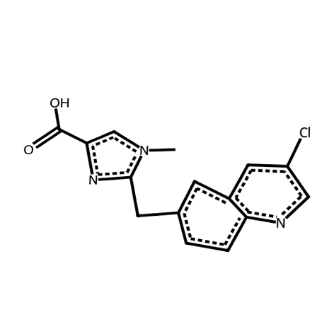 Cn1cc(C(=O)O)nc1Cc1ccc2ncc(Cl)cc2c1